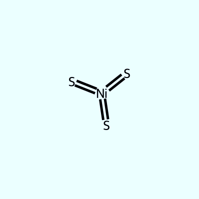 [S]=[Ni](=[S])=[S]